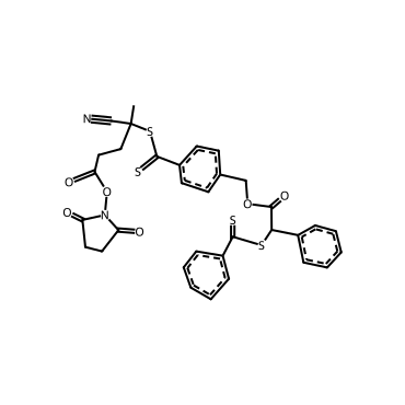 CC(C#N)(CCC(=O)ON1C(=O)CCC1=O)SC(=S)c1ccc(COC(=O)C(SC(=S)c2ccccc2)c2ccccc2)cc1